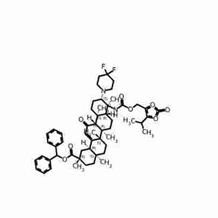 CC(C)c1oc(=O)oc1COC(=O)N[C@]1(C)[C@@H](N2CCC(F)(F)CC2)CC[C@@]2(C)[C@H]1CC[C@]1(C)[C@@H]2C(=O)C=C2[C@@H]3C[C@@](C)(C(=O)OC(c4ccccc4)c4ccccc4)CC[C@]3(C)CC[C@]21C